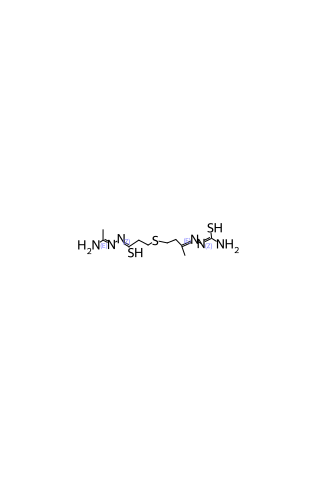 C/C(N)=N\N=C(/S)CCSCC/C(C)=N/N=C(/N)S